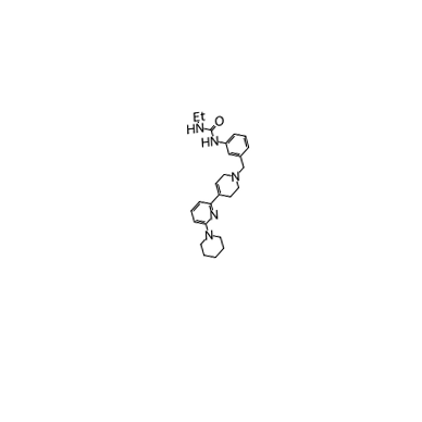 CCNC(=O)Nc1cccc(CN2CC=C(c3cccc(N4CCCCC4)n3)CC2)c1